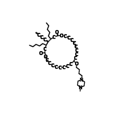 C=C=C=C=C1C(CCCCC)CC(=O)OCCCCCCCCC(OCCCCN2CCN(C)CC2)CCCCCCCCOC(=O)CC1CCCCC